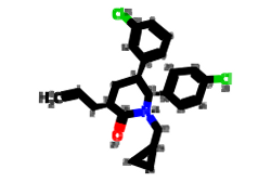 C=CC[C@H]1C[C@@H](c2cccc(Cl)c2)[C@H](c2ccc(Cl)cc2)N(CC2CC2)C1=O